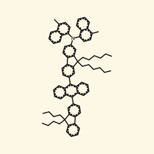 CCCCCCC1(CCCCCC)c2cc(-c3c4ccccc4c(-c4ccc5c(c4)C(CCCC)(CCCC)c4ccccc4-5)c4ccccc34)ccc2-c2ccc(N(c3ccc(C)c4ccccc34)c3ccc(C)c4ccccc34)cc21